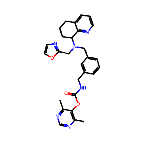 Cc1ncnc(C)c1OC(=O)NCc1cccc(CN(Cc2ncco2)C2CCCc3cccnc32)c1